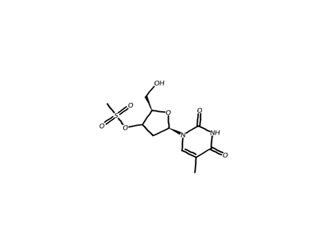 Cc1cn([C@H]2CC(OS(C)(=O)=O)[C@@H](CO)O2)c(=O)[nH]c1=O